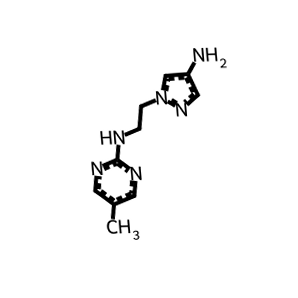 Cc1cnc(NCCn2cc(N)cn2)nc1